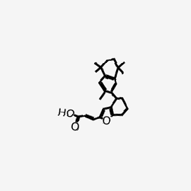 Cc1cc2c(cc1C1CCCc3oc(C=CC(=O)O)cc31)C(C)(C)CCC2(C)C